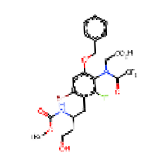 CC(C)(C)OC(=O)NC(CCO)Cc1c(Br)cc(OCc2ccccc2)c(N(CC(=O)O)C(=O)C(F)(F)F)c1F